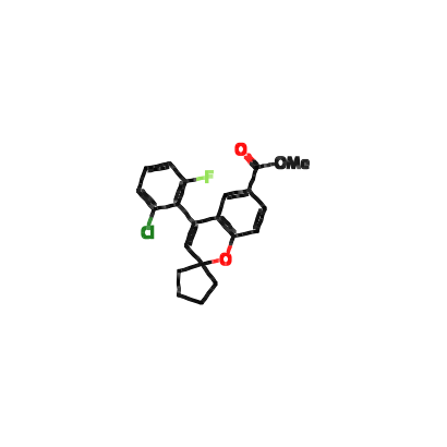 COC(=O)c1ccc2c(c1)C(c1c(F)cccc1Cl)=CC1(CCCC1)O2